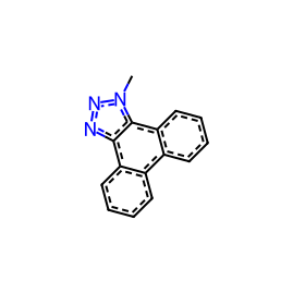 Cn1nnc2c3ccccc3c3ccccc3c21